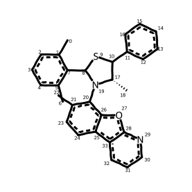 Cc1cccc(C)c1C1SC(c2ccccc2)[C@H](C)N1c1c(C)ccc2c1oc1ncccc12